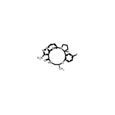 C[C@H]1CNC(=O)c2c(N)nn3ccc(nc23)N2CCC[C@@H]2c2cc(F)ccc2O1